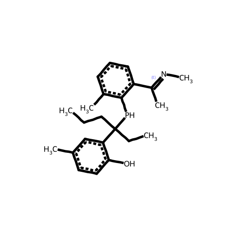 CCCC(CC)(Pc1c(C)cccc1/C(C)=N/C)c1cc(C)ccc1O